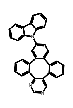 c1ccc2c(c1)-c1ccc(-n3c4ccccc4c4ccccc43)cc1-c1ccccc1-c1ncncc1-2